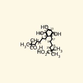 CC(C)(CCCCCc1c(O)c(O)cc(O)c1CCCCC(C)(C)C(=O)O)C(=O)O